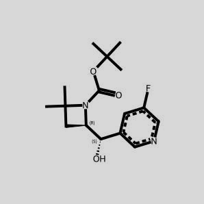 CC(C)(C)OC(=O)N1[C@@H]([C@@H](O)c2cncc(F)c2)CC1(C)C